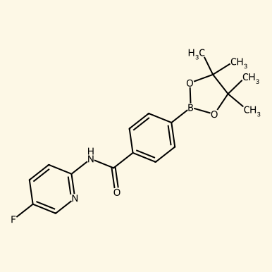 CC1(C)OB(c2ccc(C(=O)Nc3ccc(F)cn3)cc2)OC1(C)C